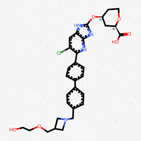 O=C(O)[C@H]1C[C@@H](Oc2nc3nc(-c4ccc(-c5ccc(CN6CC(COCCO)C6)cc5)cc4)c(Cl)cc3[nH]2)CCO1